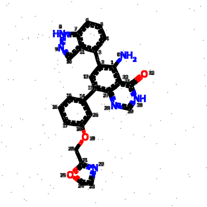 Nc1c(-c2cccc3[nH]ncc23)cc(-c2cccc(OCc3ncco3)c2)c2nc[nH]c(=O)c12